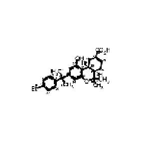 CCc1ccc(C(C)(C)c2cc(O)c3c(c2)OC(C)(C)[C@@H]2CC=C(C(=O)O)C[C@@H]32)cc1